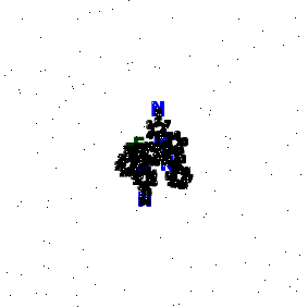 N#Cc1ccc2c(c1)c1ccccc1n2-c1cc(C(F)(F)F)c(-n2c3ccccc3c3cc(C#N)ccc32)cc1-c1cccc(-c2ccccc2)n1